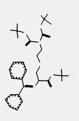 CC(C)(C)OC(=O)C(COCCN(C(=O)OC(C)(C)C)C(=O)OC(C)(C)C)N=C(c1ccccc1)c1ccccc1